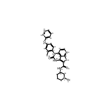 CC(=O)N1CCC[C@@H](NC(=O)c2sc3nccc4c3c2NC(=O)N4c2ccc(Oc3cccnn3)cc2C)C1